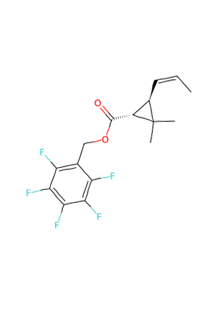 C/C=C\[C@@H]1[C@@H](C(=O)OCc2c(F)c(F)c(F)c(F)c2F)C1(C)C